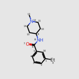 CCc1cccc(C(=O)NC2CCN(C)CC2)c1